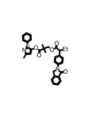 CCC(C(=O)OCC(C)(C)C(=O)Oc1cc(C)nn1-c1ccccc1)c1ccc(N2Cc3ccccc3C2=O)cc1